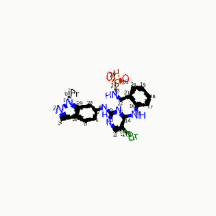 CC(C)n1ncc2ccc(Nc3ncc(Br)c(Nc4ccccc4CN[SH](=O)=O)n3)cc21